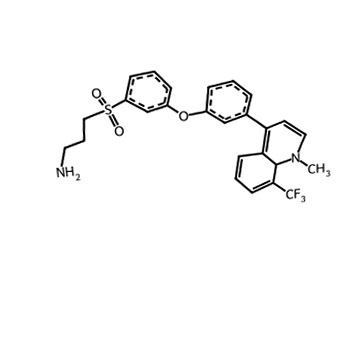 CN1C=CC(c2cccc(Oc3cccc(S(=O)(=O)CCCN)c3)c2)=C2C=CC=C(C(F)(F)F)C21